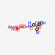 COP(=O)(O)OCC(O)COCCCNC(=O)c1ccc(C(=O)O)c(-c2c3ccc(=[N+](C)C)cc-3oc3cc(N(C)C)ccc23)c1